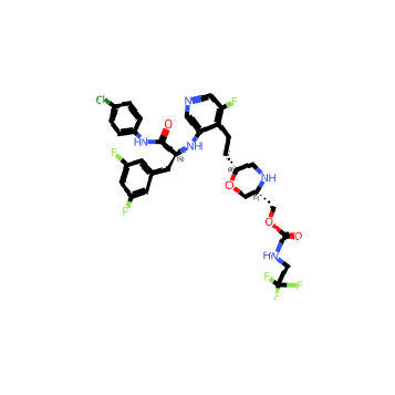 O=C(NCC(F)(F)F)OC[C@@H]1CO[C@H](CCc2c(F)cncc2N[C@@H](Cc2cc(F)cc(F)c2)C(=O)Nc2ccc(Cl)cc2)CN1